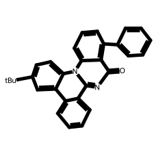 CC(C)(C)c1ccc2c(c1)c1ccccc1c1nc(=O)c3c(-c4ccccc4)cccc3n21